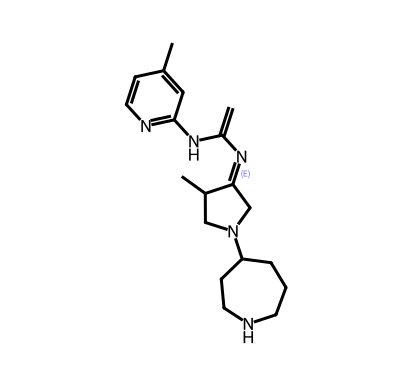 C=C(/N=C1/CN(C2CCCNCC2)CC1C)Nc1cc(C)ccn1